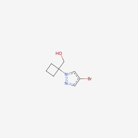 OCC1(n2cc(Br)cn2)CCC1